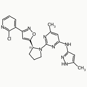 Cc1cc(Nc2cc(C)[nH]n2)nc(N2CCC[C@H]2c2cc(-c3cccnc3Cl)no2)n1